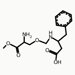 COC(=O)C(N)COCNC(CC(=O)O)Cc1ccccc1